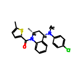 CC(=O)N(c1ccc(Cl)cc1)[C@H]1C[C@@H](C)N(C(=O)c2ccc(C)s2)c2ccccc21